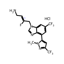 Cl.Cn1nc(C(F)(F)F)cc1-c1cc(C(F)(F)F)cc2c1ncn2C/C(F)=C/CN